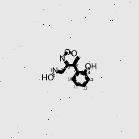 ON=CC1=NOOC=C1c1ccccc1O